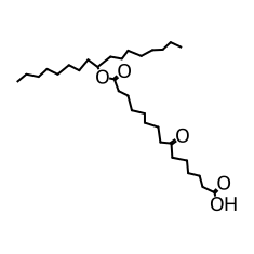 CCCCCCCCC(CCCCCCCC)OC(=O)CCCCCCCC(=O)CCCCCC(=O)O